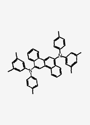 Cc1ccc(N(c2cc(C)cc(C)c2)c2cc3c4ccccc4c(N(c4ccc(C)cc4)c4cc(C)cc(C)c4)cc3c3ccccc23)cc1